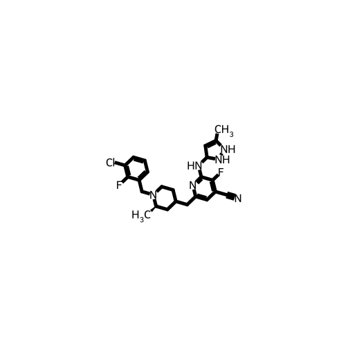 CC1=CC(Nc2nc(CC3CCN(Cc4cccc(Cl)c4F)[C@H](C)C3)cc(C#N)c2F)NN1